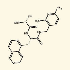 CCC(C)[C@@H](NC)C(=O)N[C@@H](Cc1cccc2ccccc12)C(=O)NCc1ccc(N)nc1C